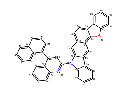 c1ccc2c(-c3nc(-n4c5ccccc5c5cc6c(ccc7c8ccccc8oc67)cc54)nc4ccccc34)cccc2c1